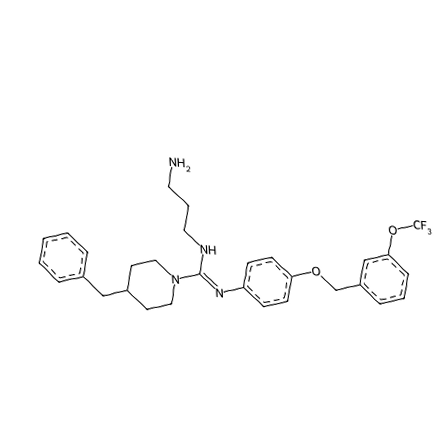 NCCCN/C(=N\c1ccc(OCc2cccc(OC(F)(F)F)c2)cc1)N1CCC(Cc2ccccc2)CC1